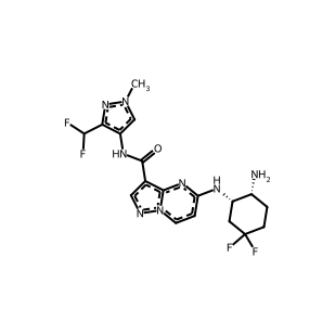 Cn1cc(NC(=O)c2cnn3ccc(N[C@H]4CC(F)(F)CC[C@H]4N)nc23)c(C(F)F)n1